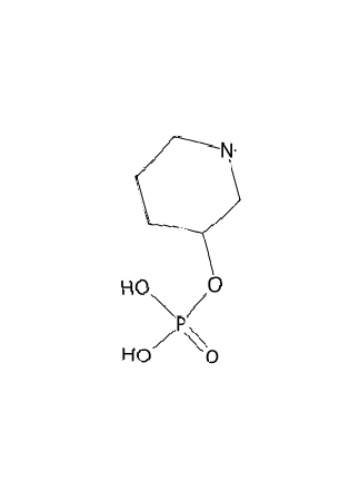 O=P(O)(O)OC1CCC[N]C1